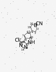 N#CB1CCC(c2ccc3c(c2)[nH]c2ncnc(Cl)c23)CC1